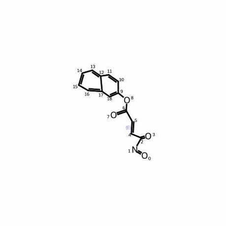 O=NC(=O)/C=C/C(=O)Oc1ccc2ccccc2c1